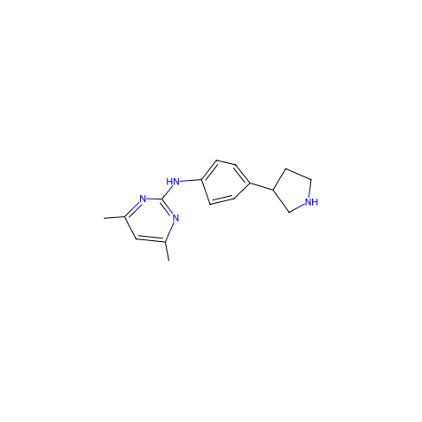 Cc1cc(C)nc(Nc2ccc(C3CCNC3)cc2)n1